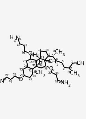 CCC(C)CCC[C@@H](C)C1CC[C@H]2C3[C@H](OCCCN)CC4C[C@H](OCCCN)CC[C@]4(C)[C@H]3C[C@H](OCCCN)C12C